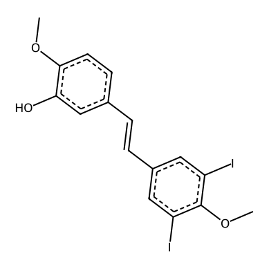 COc1ccc(C=Cc2cc(I)c(OC)c(I)c2)cc1O